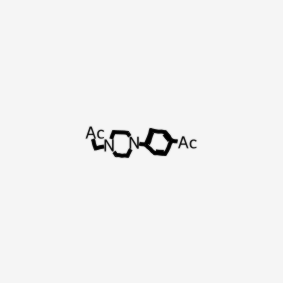 [CH2]C(=O)CN1CCN(c2ccc(C(C)=O)cc2)CC1